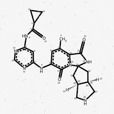 Cc1cc(Nc2cc(NC(=O)C3CC3)ncn2)c(=O)n2c1C(=O)NC21C[C@H]2CNC[C@H]2C1